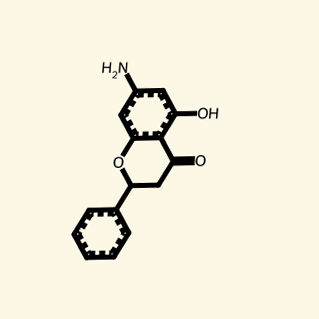 Nc1cc(O)c2c(c1)OC(c1ccccc1)CC2=O